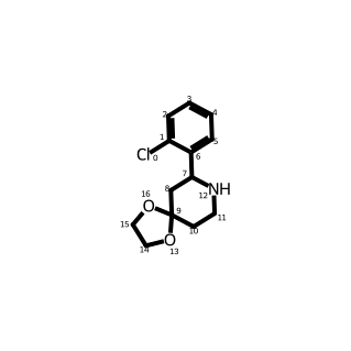 Clc1ccccc1C1CC2(CCN1)OCCO2